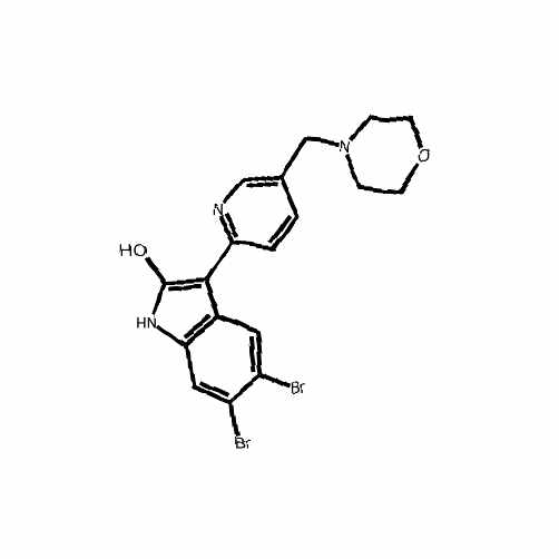 Oc1[nH]c2cc(Br)c(Br)cc2c1-c1ccc(CN2CCOCC2)cn1